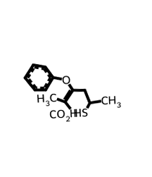 CC(C(=O)O)=C(CC(C)S)Oc1ccccc1